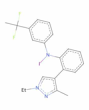 CCn1cc(-c2ccccc2N(I)c2cccc(C(C)(F)F)c2)c(C)n1